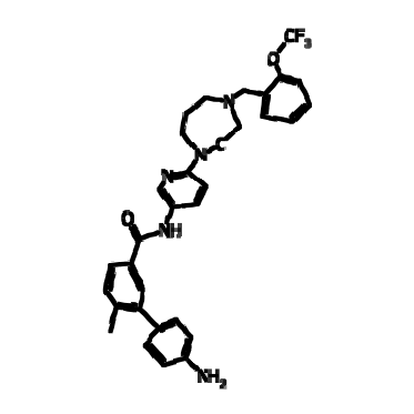 Cc1ccc(C(=O)Nc2ccc(N3CCCN(Cc4ccccc4OC(F)(F)F)CC3)nc2)cc1-c1ccc(N)cc1